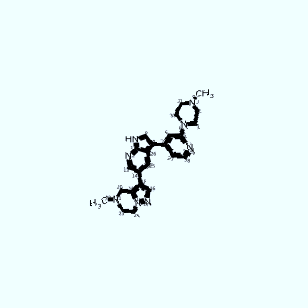 CN1CCN(c2cc(-c3c[nH]c4ncc(-c5cnn6c5CN(C)CC6)cc34)ccn2)CC1